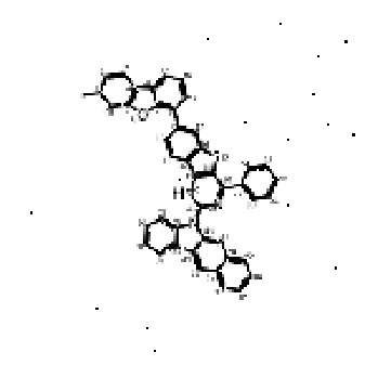 CC1C=Cc2c(oc3c(-c4ccc5c6c(sc5c4)C(c4ccccc4)=NC(n4c5ccccc5c5cc7ccccc7cc54)N6)cccc23)C1